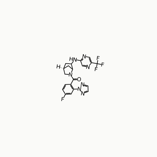 O=C(c1ccc(F)cc1-n1nccn1)N1C[C@H]2CC(Nc3cnc(C(F)(F)F)cn3)C1C2